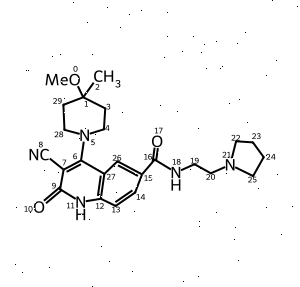 COC1(C)CCN(c2c(C#N)c(=O)[nH]c3ccc(C(=O)NCCN4CCCC4)cc23)CC1